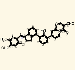 Cc1nc(/C=C2\CCc3c2cccc3-c2cccc(-c3ccn4c(=O)c(C=O)cnc4c3)c2Cl)c(Cl)cc1C=O